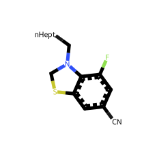 CCCCCCCCN1CSc2cc(C#N)cc(F)c21